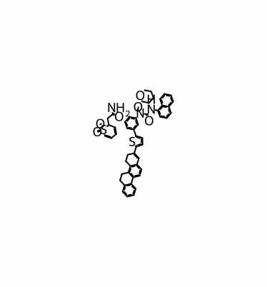 NC(=O)CC1C=CC=CS1(=O)=O.O=C(Nc1cccc2ccccc12)N(OC1CCCCO1)c1cccc(-c2ccc(C3=Cc4ccc5c(c4CC3)CCc3ccccc3-5)s2)c1